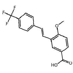 COc1ccc(C(=O)O)cc1C=Cc1ccc(C(F)(F)F)cc1